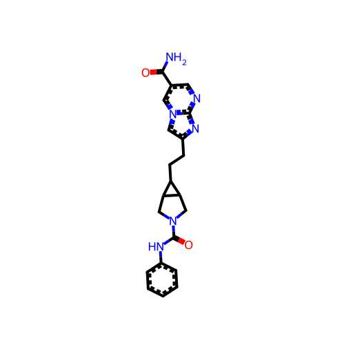 NC(=O)c1cnc2nc(CCC3C4CN(C(=O)Nc5ccccc5)CC34)cn2c1